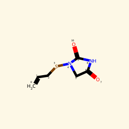 C=CCSN1CC(=O)NC1=O